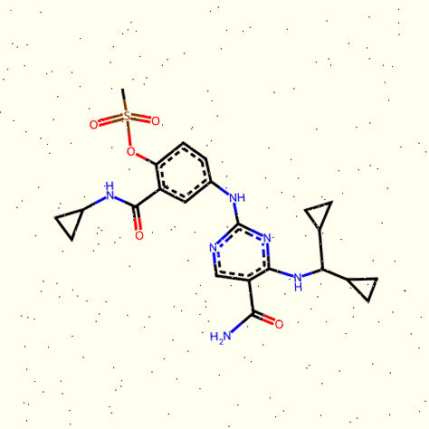 CS(=O)(=O)Oc1ccc(Nc2ncc(C(N)=O)c(NC(C3CC3)C3CC3)n2)cc1C(=O)NC1CC1